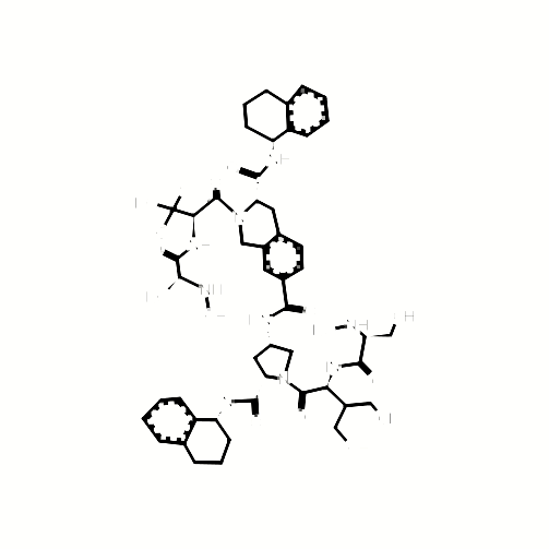 CCC(CC)[C@H](NC(=O)[C@H](CC)NC)C(=O)N1C[C@@H](NC(=O)c2ccc3c(c2)CN(C(=O)[C@@H](NC(=O)[C@H](C)NC)C(C)(C)C)[C@H](C(=O)N[C@@H]2CCCc4ccccc42)C3)C[C@H]1C(=O)N[C@@H]1CCCc2ccccc21